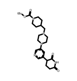 CC(C)(C)OC(=O)N1CCC(CN2CCN(c3cncc(C4CCC(=O)NC4=O)c3)CC2)CC1